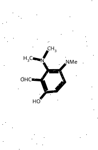 CNc1ccc(O)c(C=O)c1N(C)C